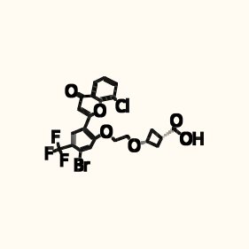 O=c1cc(-c2cc(C(F)(F)F)c(Br)cc2OCCO[C@H]2C[C@@H](C(=O)O)C2)oc2c(Cl)cccc12